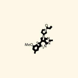 C=CC(=O)N1CCC(n2cc(-c3cc4cc(C)cc(OC)c4s3)c3c(N)nc(C)nc32)C1